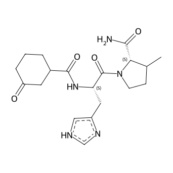 CC1CCN(C(=O)[C@H](Cc2c[nH]cn2)NC(=O)C2CCCC(=O)C2)[C@@H]1C(N)=O